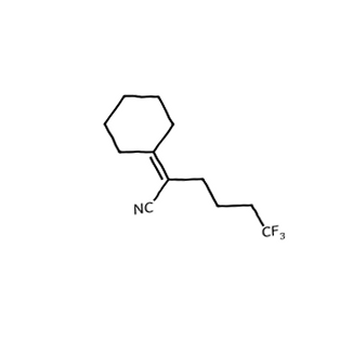 N#CC(CCCC(F)(F)F)=C1CCCCC1